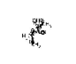 C=CC(=O)OCCC(C)OOC(=O)CCN(CCC(=O)OCCC(C)(C)OC=O)Cc1ccncc1